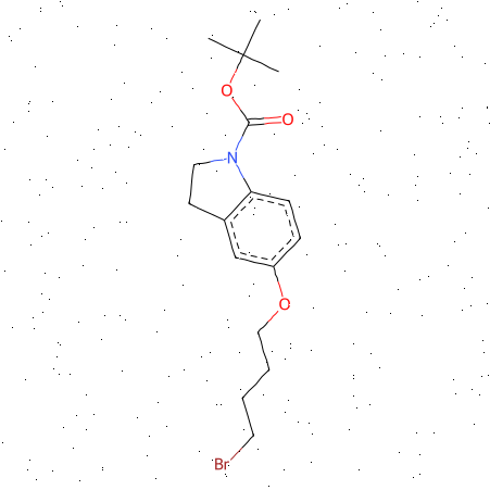 CC(C)(C)OC(=O)N1CCc2cc(OCCCCBr)ccc21